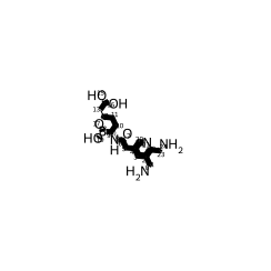 NCc1cc(CC(=O)N[C@H]2CC[C@@H](CC(O)O)OB2O)cnc1CN